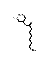 CCCCCCCCCCCCCCCCC(=O)OC(C[C]=O)CCCCCCCCCCC